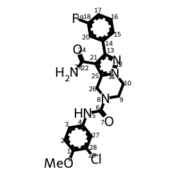 COc1ccc(NC(=O)N2CCn3nc(-c4cccc(F)c4)c(C(N)=O)c3C2)cc1Cl